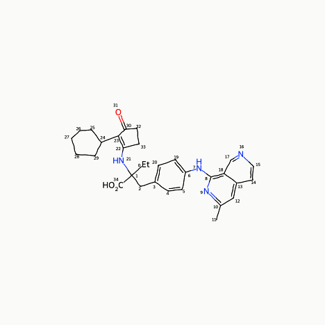 CCC(Cc1ccc(Nc2nc(C)cc3ccncc23)cc1)(NC1=C(C2CCCCC2)C(=O)CC1)C(=O)O